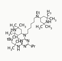 CCN(CCCCCCN(c1nc(NC(C)(C)CC(C)(C)C)nc(C(C)C)n1)C1CC(C)(C)NC(C)(C)C1)C1CC(C)(C)NC(C)(C)C1